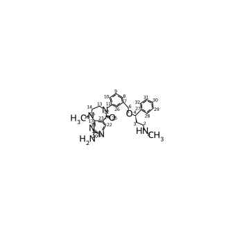 CNCC[C@@H](OCc1cccc(N2CCN(C)c3nc(N)ncc3C2=O)c1)c1ccccc1